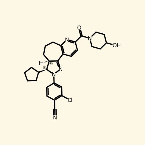 N#Cc1ccc(N2N=C3c4ccc(C(=O)N5CCC(O)CC5)nc4CCC[C@@H]3[C@@H]2C2CCCC2)cc1Cl